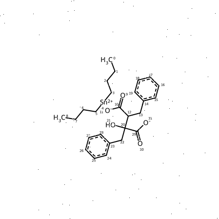 CCC[CH2][Sn+2][CH2]CCC.O=C([O-])C(Cc1ccccc1)C(O)(Cc1ccccc1)C(=O)[O-]